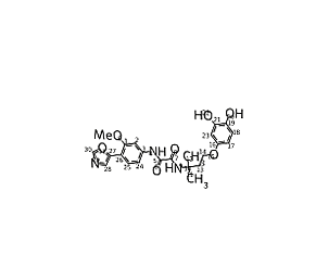 COc1cc(NC(=O)C(=O)NC(C)(C)CCOc2ccc(O)c(O)c2)ccc1-c1cnco1